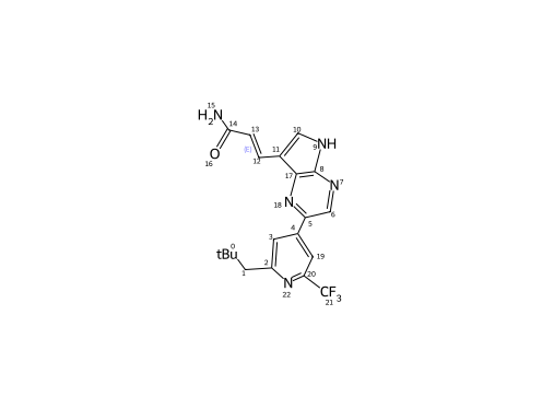 CC(C)(C)Cc1cc(-c2cnc3[nH]cc(/C=C/C(N)=O)c3n2)cc(C(F)(F)F)n1